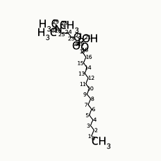 CCCCCCCCCCCCCCCCCCOP(=O)(O)OCCC[N+](C)(C)C